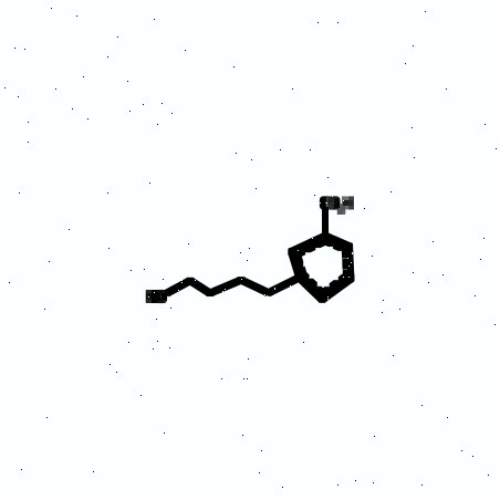 O=C(O)c1cccc(CCCCO)c1